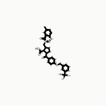 Cc1ccc2nnn(CC3CCC(C(=O)c4ccc(OCc5cccc(C(F)(F)F)c5)cc4)C3C(=O)O)c(=O)c2c1